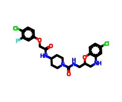 O=C(COc1ccc(Cl)c(F)c1)NC1CCN(C(=O)NCC2CNc3cc(Cl)ccc3O2)CC1